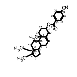 CC1C2CCC3C4CC=C5CC(OC(=O)c6ccc(C#N)cc6)CCC5(C)C4CCC32CN1C